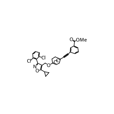 COC(=O)c1cccc(C#CC23CCC(OCc4c(-c5c(Cl)cccc5Cl)noc4C4CC4)(CC2)CC3)c1